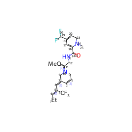 C\C=C/C(=C\C(=C\CC)C(F)(F)F)C/N=C(/CNC(=O)C1=CC(C(F)F)=CCN1C)OC